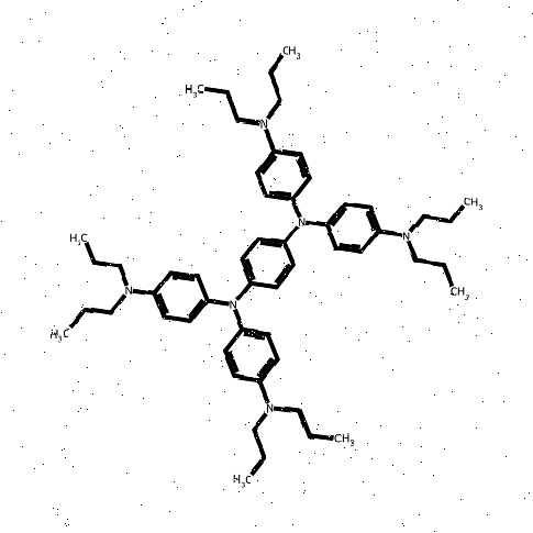 CCCN(CCC)c1ccc(N(c2ccc(N(CCC)CCC)cc2)c2ccc(N(c3ccc(N(CCC)CCC)cc3)c3ccc(N(CCC)CCC)cc3)cc2)cc1